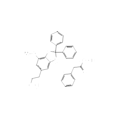 COc1cc(CCC(=O)O)cc2c1OC(c1ccccc1)(c1ccccc1)O2.O=C(O)C(=O)Cc1ccccc1